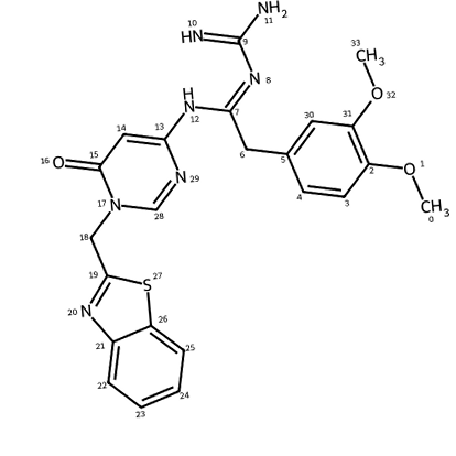 COc1ccc(C/C(=N/C(=N)N)Nc2cc(=O)n(Cc3nc4ccccc4s3)cn2)cc1OC